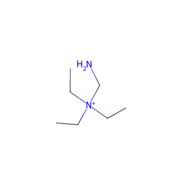 CC[N+](CC)(CC)CN